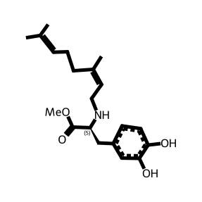 COC(=O)[C@H](Cc1ccc(O)c(O)c1)NCC=C(C)CCC=C(C)C